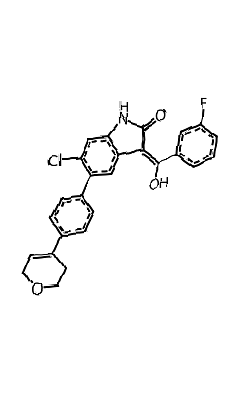 O=C1Nc2cc(Cl)c(-c3ccc(C4=CCOCC4)cc3)cc2C1=C(O)c1cccc(F)c1